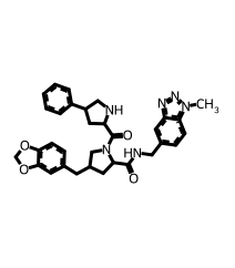 Cn1nnc2cc(CNC(=O)C3CC(Cc4ccc5c(c4)OCO5)CN3C(=O)C3CC(c4ccccc4)CN3)ccc21